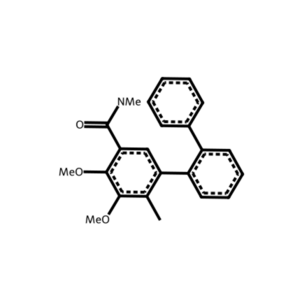 CNC(=O)c1cc(-c2ccccc2-c2ccccc2)c(C)c(OC)c1OC